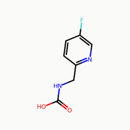 O=C(O)NCc1ccc(F)cn1